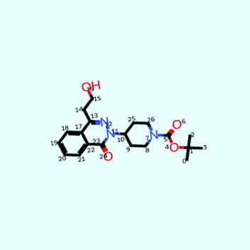 CC(C)(C)OC(=O)N1CCC(n2nc(CCO)c3ccccc3c2=O)CC1